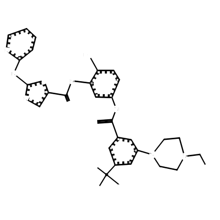 CCN1CCN(c2cc(C(=O)Nc3ccc(C)c(NC(=O)c4cnc(Nc5ccccn5)s4)c3)cc(C(F)(F)F)c2)CC1